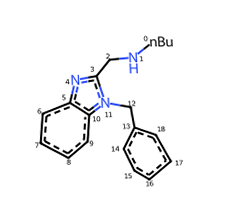 CCCCNCc1nc2ccccc2n1Cc1ccccc1